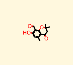 Cc1cc(O)c(C=O)c2c1C(=O)CC(C)(C)O2